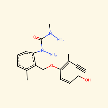 C#C/C(C)=C(\C=C/CO)OCc1c(C)cccc1N(N)C(=O)N(C)N